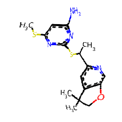 CSc1cc(N)nc(SC(C)c2cc3c(cn2)OCC3(C)C)n1